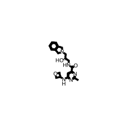 Cc1nc(NC2COC2)cc(C(=O)NC[C@H](O)CN2Cc3ccccc3C2)n1